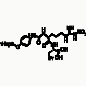 CCCCCCCOc1ccc(NC(=O)N[C@@H](CCCNC(=N)N[N+](=O)[O-])C(=O)N[C@@H](CC(C)C)B(O)O)cc1